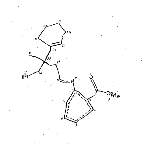 COC(=O)c1ccccc1N=CCC(C)(CC(C)C)C1=CCCCC1